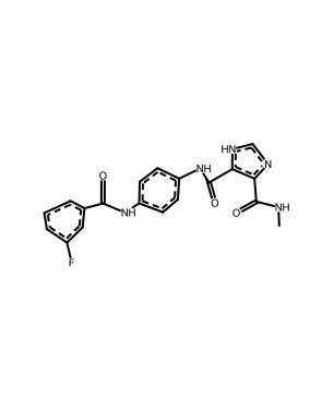 CNC(=O)c1nc[nH]c1C(=O)Nc1ccc(NC(=O)c2cccc(F)c2)cc1